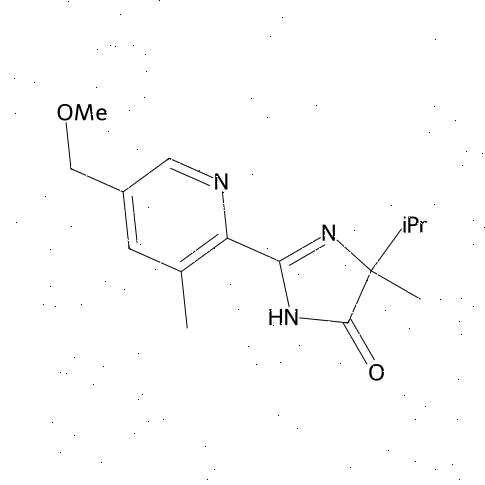 COCc1cnc(C2=NC(C)(C(C)C)C(=O)N2)c(C)c1